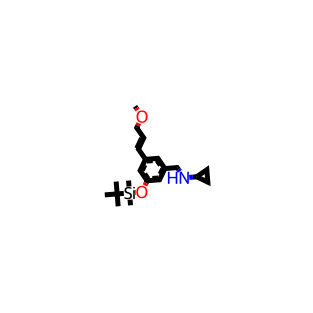 COC/C=C/c1cc(CNC2CC2)cc(O[Si](C)(C)C(C)(C)C)c1